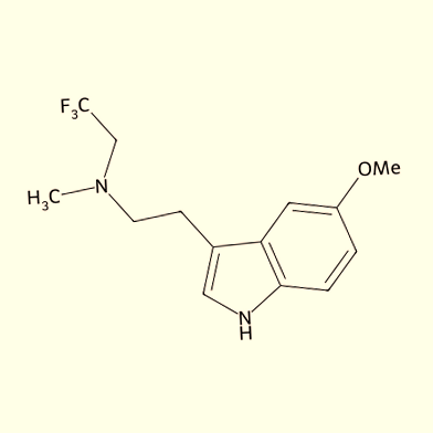 COc1ccc2[nH]cc(CCN(C)CC(F)(F)F)c2c1